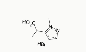 Br.CC(C(=O)O)c1ccnn1C